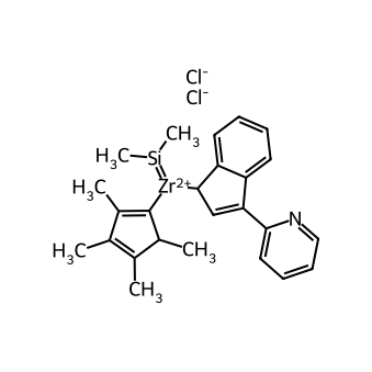 CC1=C(C)C(C)[C]([Zr+2]([CH]2C=C(c3ccccn3)c3ccccc32)=[Si](C)C)=C1C.[Cl-].[Cl-]